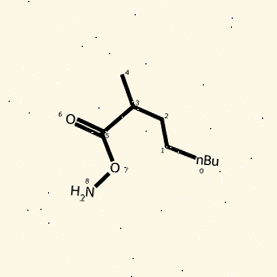 CCCCCCC(C)C(=O)ON